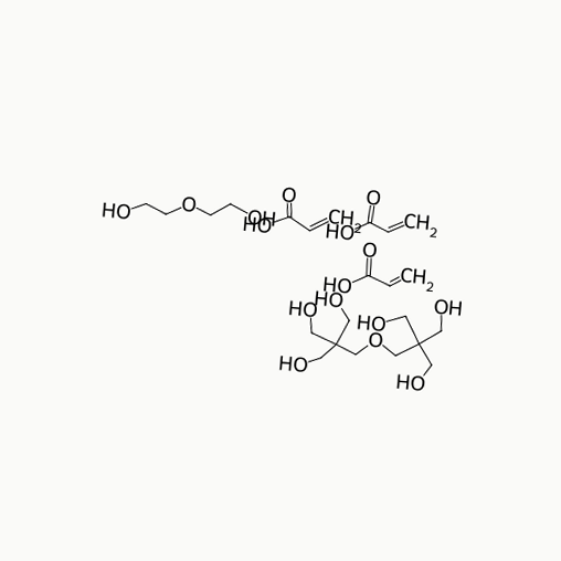 C=CC(=O)O.C=CC(=O)O.C=CC(=O)O.OCC(CO)(CO)COCC(CO)(CO)CO.OCCOCCO